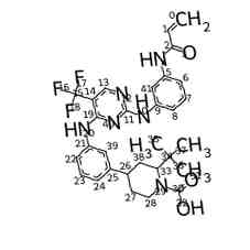 C=CC(=O)Nc1cccc(Nc2ncc(C(F)(F)F)c(Nc3cccc(C4CCN(C(=O)O)C(C(C)(C)C)C4)c3)n2)c1